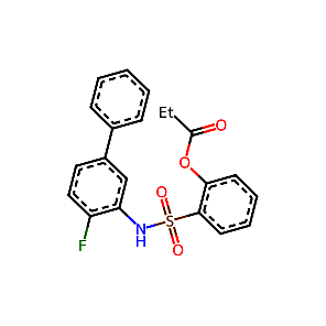 CCC(=O)Oc1ccccc1S(=O)(=O)Nc1cc(-c2ccccc2)ccc1F